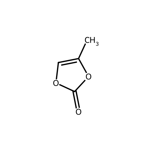 Cc1coc(=O)o1